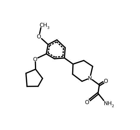 COc1ccc(C2CCN(C(=O)C(N)=O)CC2)cc1OC1CCCC1